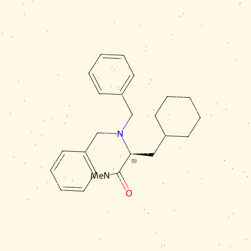 CNC(=O)[C@H](CC1CCCCC1)N(Cc1ccccc1)Cc1ccccc1